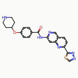 O=C(Nc1cc2nc(-c3nncs3)ccc2cn1)c1ccc(OC2CCNCC2)cc1